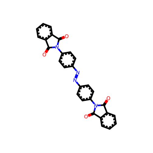 O=C1c2ccccc2C(=O)N1c1ccc(N=Nc2ccc(N3C(=O)c4ccccc4C3=O)cc2)cc1